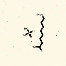 CCCCCCCCCCCCCCCCC(O)CC.O=P(O)(O)O